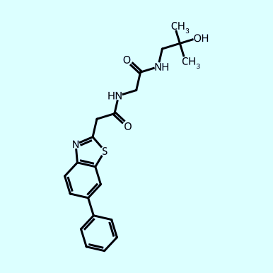 CC(C)(O)CNC(=O)CNC(=O)Cc1nc2ccc(-c3ccccc3)cc2s1